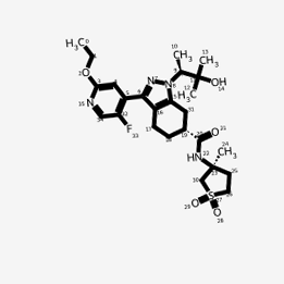 CCOc1cc(-c2nn([C@@H](C)C(C)(C)O)c3c2CC[C@@H](C(=O)N[C@@]2(C)CCS(=O)(=O)C2)C3)c(F)cn1